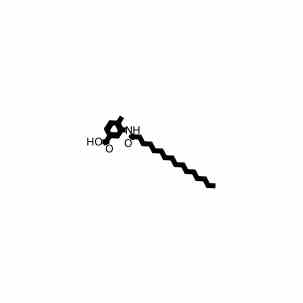 CCCCCCCCCCCCCCCC(=O)Nc1cc(C(=O)O)ccc1C